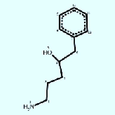 NCCCC(O)Cc1ccccc1